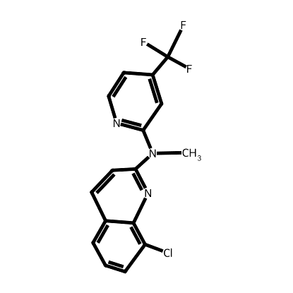 CN(c1cc(C(F)(F)F)ccn1)c1ccc2cccc(Cl)c2n1